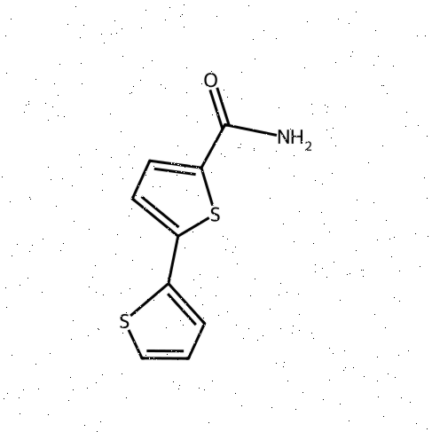 NC(=O)c1ccc(-c2cccs2)s1